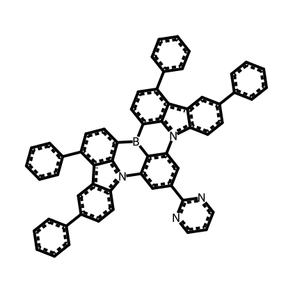 c1ccc(-c2ccc3c(c2)c2c(-c4ccccc4)ccc4c2n3-c2cc(-c3ncccn3)cc3c2B4c2ccc(-c4ccccc4)c4c5cc(-c6ccccc6)ccc5n-3c24)cc1